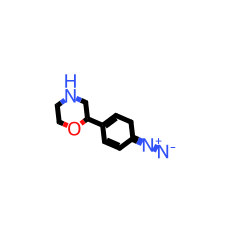 [N-]=[N+]=C1C=CC(C2CNCCO2)=CC1